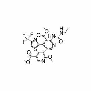 CCNC(=O)Nc1ncc(-c2cc(C(=O)OC)cnc2OC)c(-c2nc(C(F)(F)F)cs2)c1C(=O)OC